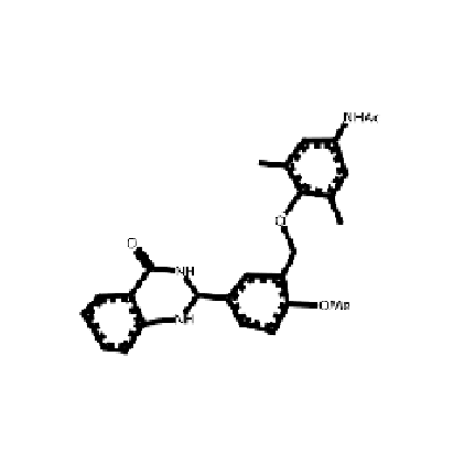 COc1ccc(C2NC(=O)c3ccccc3N2)cc1COc1c(C)cc(NC(C)=O)cc1C